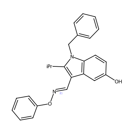 CC(C)c1c(/C=N/Oc2ccccc2)c2cc(O)ccc2n1Cc1ccccc1